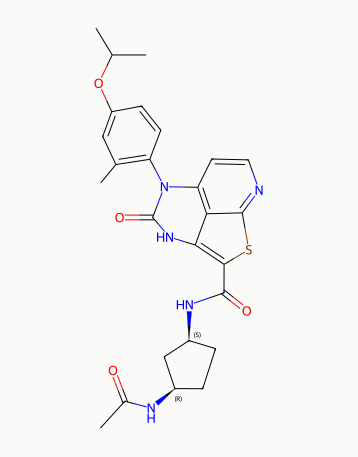 CC(=O)N[C@@H]1CC[C@H](NC(=O)c2sc3nccc4c3c2NC(=O)N4c2ccc(OC(C)C)cc2C)C1